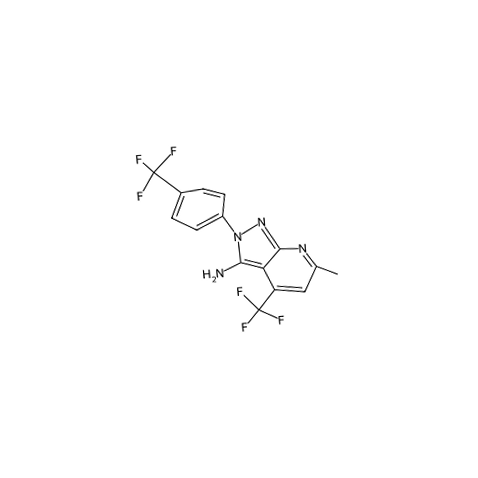 Cc1cc(C(F)(F)F)c2c(N)n(-c3ccc(C(F)(F)F)cc3)nc2n1